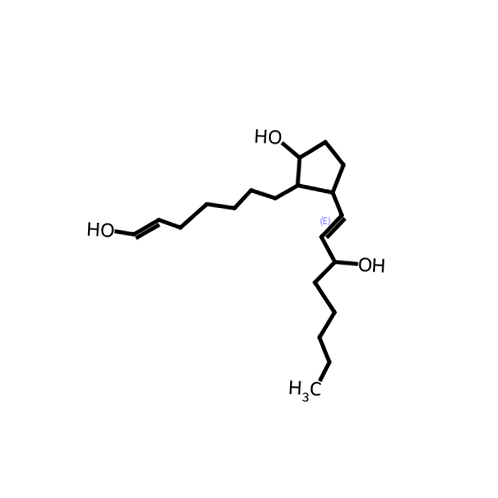 CCCCCC(O)/C=C/C1CCC(O)C1CCCCCC=CO